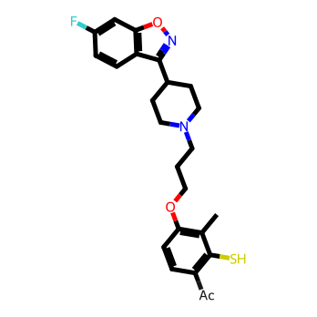 CC(=O)c1ccc(OCCCN2CCC(c3noc4cc(F)ccc34)CC2)c(C)c1S